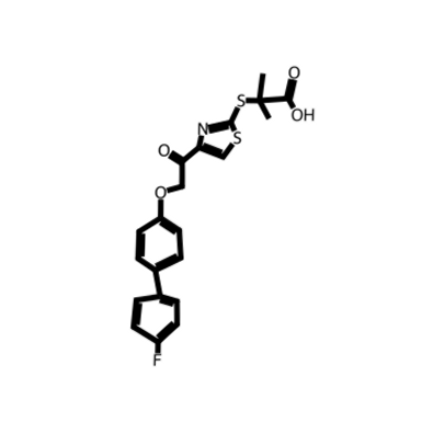 CC(C)(Sc1nc(C(=O)COc2ccc(-c3ccc(F)cc3)cc2)cs1)C(=O)O